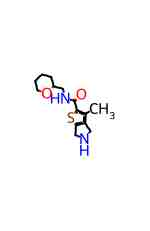 Cc1c(C(=O)NCC2CCCCO2)sc2c1CNC2